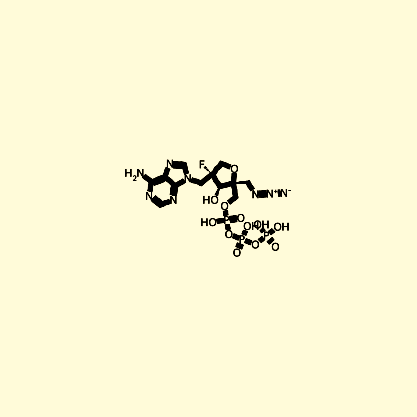 [N-]=[N+]=NC[C@]1(COP(=O)(O)OP(=O)(O)OP(=O)(O)O)OC[C@](F)(Cn2cnc3c(N)ncnc32)[C@@H]1O